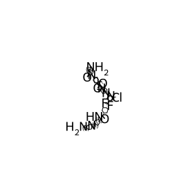 N[C@@H]1CC(=O)N(c2ccc(S(=O)(=O)N3CCN(c4cc(C(F)(F)[C@H]5CC[C@H](C(=O)N[C@H]6CC[C@@H](N7CC[C@@H](N)C7)C6)CC5)cc(Cl)n4)CC3)cc2)C1